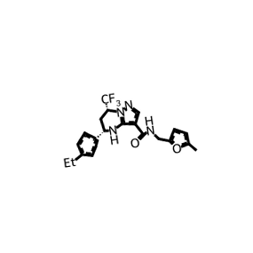 CCc1ccc([C@@H]2C[C@H](C(F)(F)F)n3ncc(C(=O)NCc4ccc(C)o4)c3N2)cc1